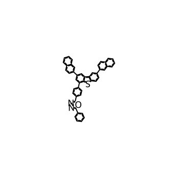 c1ccc(-c2nnc(-c3ccc(-c4cc(-c5ccc6ccccc6c5)cc5c4sc4ccc(-c6ccc7ccccc7c6)cc45)cc3)o2)cc1